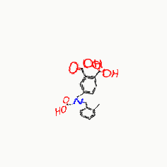 Cc1ccccc1CN(CC(=O)O)Cc1ccc(C(=O)O)c(C(=O)O)c1